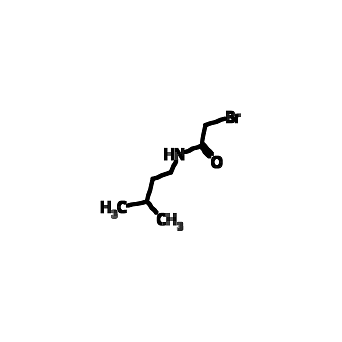 CC(C)CCNC(=O)CBr